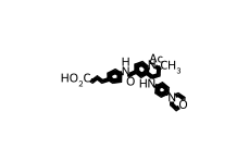 CC(=O)N1c2ccc(C(=O)Nc3ccc(CCCC(=O)O)cc3)cc2C(Nc2ccc(N3CCOCC3)cc2)CC1C